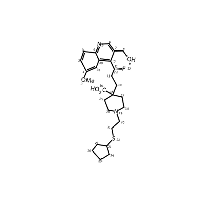 COc1ccc2ncc(CO)c([C@@H](F)CCC3(C(=O)O)CCN(CCSC4CCCC4)CC3)c2c1